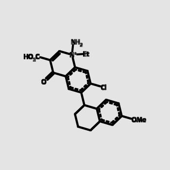 CC[N+]1(N)C=C(C(=O)O)C(=O)c2cc(C3CCCc4cc(OC)ccc43)c(Cl)cc21